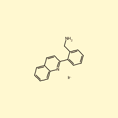 NCc1ccccc1-c1ccc2ccccc2n1.[Ir]